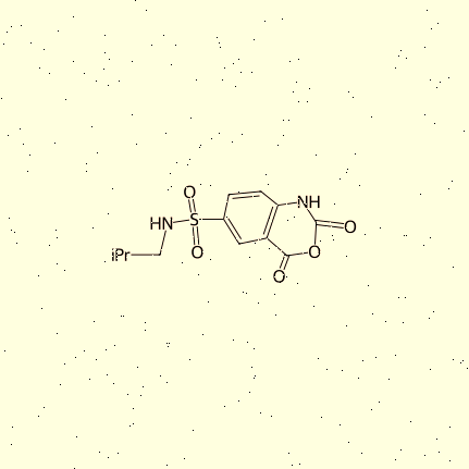 CC(C)CNS(=O)(=O)c1ccc2[nH]c(=O)oc(=O)c2c1